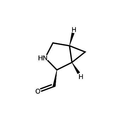 O=C[C@H]1NC[C@@H]2C[C@@H]21